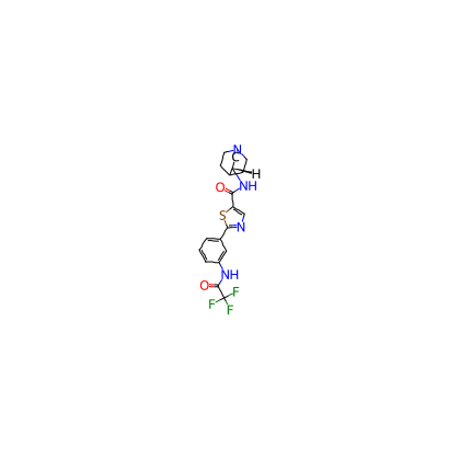 O=C(N[C@H]1CN2CCC1CC2)c1cnc(-c2cccc(NC(=O)C(F)(F)F)c2)s1